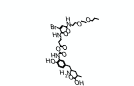 CCCOCCOCCNC(=O)/C=C(/Br)C(=O)NCCC(=O)OC(=O)Nc1cc(CC(N)CC(C)C(=O)O)ccc1O